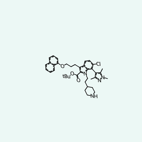 Cc1nn(C)c(C)c1-c1c(Cl)ccc2c(CCCOc3cccc4ccccc34)c(C(=O)OC(C)(C)C)n(CCC3CCNCC3)c12